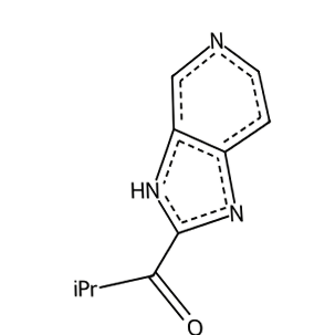 CC(C)C(=O)c1nc2ccncc2[nH]1